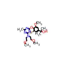 COCCN(CCOC)c1nc(C)nc(Oc2c(Br)cc(C(C)(C)O)cc2OC)n1